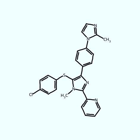 Cc1nccn1-c1ccc(-c2nc(-c3ccccn3)n(C)c2Sc2ccc(Cl)cc2)cc1